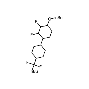 CCCCOC1CCC(C2CCC(C(F)(F)CCCC)CC2)C(F)C1F